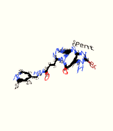 CCCCCn1c2nc(Br)[nH]c2c(=O)n2c(CCC(=O)NCc3ccncc3)nnc12